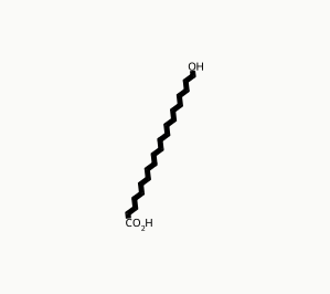 O=C(O)CCCCCCCCCCCCCCCCCCCCO